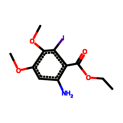 CCOC(=O)c1c(N)cc(OC)c(OC)c1I